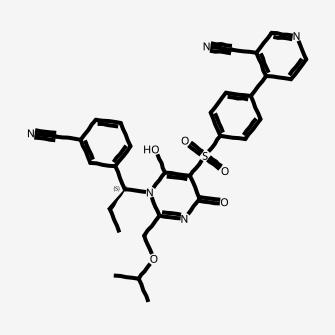 CC[C@@H](c1cccc(C#N)c1)n1c(COC(C)C)nc(=O)c(S(=O)(=O)c2ccc(-c3ccncc3C#N)cc2)c1O